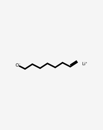 C=CCCCCCC[O-].[Li+]